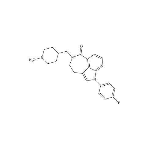 CN1CCC(CN2CCc3cn(-c4ccc(F)cc4)c4cccc(c34)C2=O)CC1